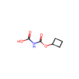 O=C(O)NC(=O)OC1CCC1